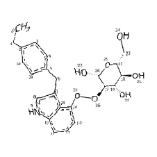 CCc1ccc(Cc2c[nH]c3cccc(OO[C@@H]4[C@@H](O)[C@H](O)[C@@H](CO)O[C@H]4O)c23)cc1